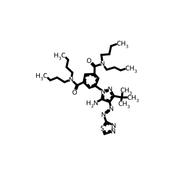 CCCCN(CCCC)C(=O)c1cc(C(=O)N(CCCC)CCCC)cc(-n2nc(C(C)(C)C)c(N=Nc3nncs3)c2N)c1